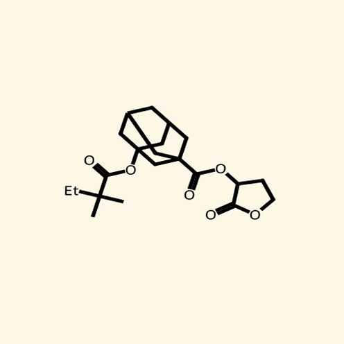 CCC(C)(C)C(=O)OC12CC3CC(C1)CC(C(=O)OC1CCOC1=O)(C3)C2